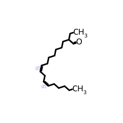 CCCCC/C=C\C/C=C\CCCCCCC(C=O)CC